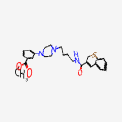 COC(=O)c1cccc(N2CCN(CCCCNC(=O)C3=Cc4ccccc4SC3)CC2)c1